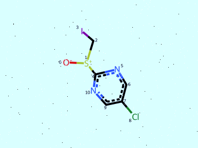 [O-][S+](CI)c1ncc(Cl)cn1